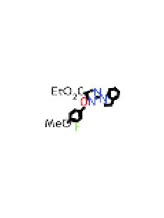 CCOC(=O)c1cnc(N2CCc3ccccc32)nc1OCc1ccc(OC)c(F)c1